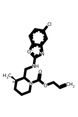 C=CCOC(=O)N1CCC[C@@H](C)C1CNc1nc2cc(Cl)ccc2o1